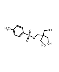 Cc1ccc(S(=O)(=O)OCC(CO)(CO)CO)cc1